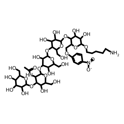 CC(=O)NC1C(OC2C(O)C(CO)OC(OC3C(CO)OC(OC4C(COc5ccc([N+](=O)[O-])cc5)OC(OCCCCCN)C(O)C4O)C(O)C3O)C2O)OC(CO)C(O)C1OC1OC(CO)C(O)C(O)C1O